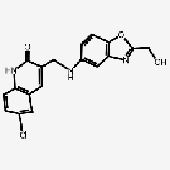 O=c1[nH]c2ccc(Cl)cc2cc1CNc1ccc2oc(CO)nc2c1